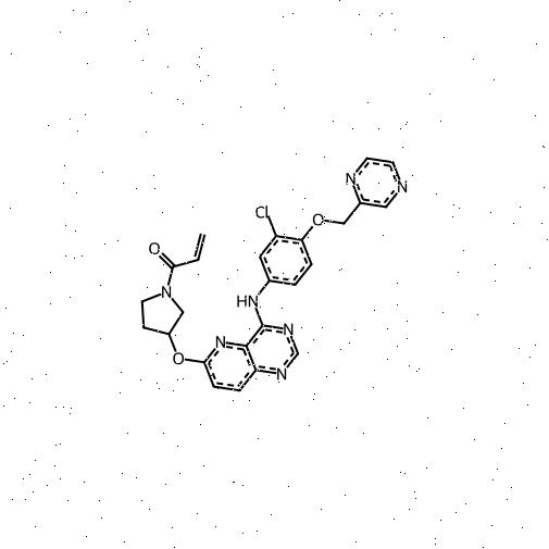 C=CC(=O)N1CCC(Oc2ccc3ncnc(Nc4ccc(OCc5cnccn5)c(Cl)c4)c3n2)C1